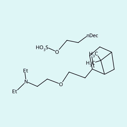 CCCCCCCCCCCCOS(=O)(=O)O.CCN(CC)CCOCCC1=CCC2CC1C2(C)C